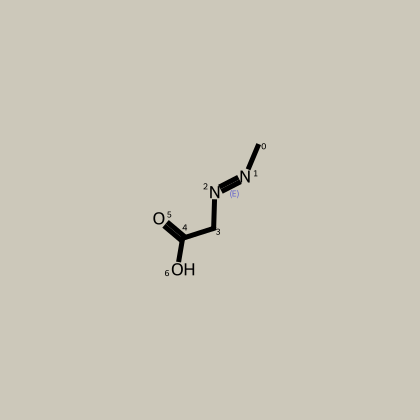 C/N=N/CC(=O)O